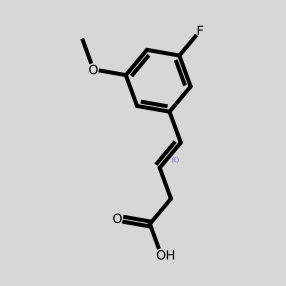 COc1cc(F)cc(/C=C/CC(=O)O)c1